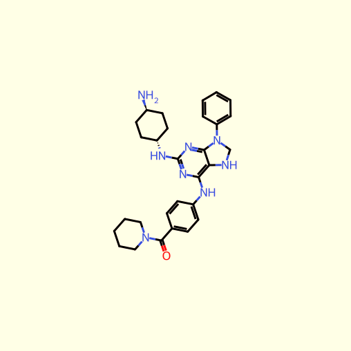 N[C@H]1CC[C@H](Nc2nc(Nc3ccc(C(=O)N4CCCCC4)cc3)c3c(n2)N(c2ccccc2)CN3)CC1